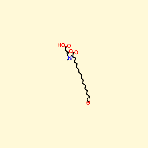 C[N+](C)(C)C[C@@H](CC(=O)O)OC(=O)CCCCCCCCCCCCCCCC=C=O